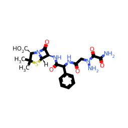 CC1(C)S[C@@H]2[C@H](NC(=O)C(NC(=O)CN(N)C(=O)C(N)=O)c3ccccc3)C(=O)N2[C@H]1C(=O)O